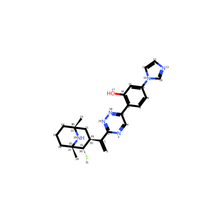 C=C(c1ncc(-c2ccc(-n3ccnc3)cc2O)nn1)[C@@H]1C[C@@]2(C)CCC[C@](C)(N2)[C@H]1F